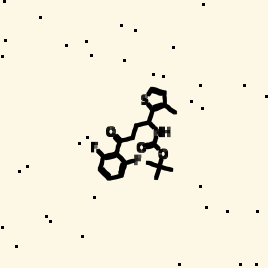 Cc1ccsc1C(CCC(=O)c1c(F)cccc1F)NC(=O)OC(C)(C)C